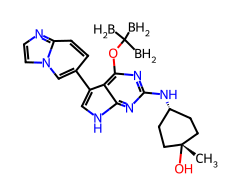 BC(B)(B)Oc1nc(N[C@H]2CC[C@@](C)(O)CC2)nc2[nH]cc(-c3ccc4nccn4c3)c12